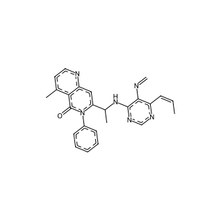 C=Nc1c(/C=C\C)ncnc1NC(C)c1cc2nccc(C)c2c(=O)n1-c1ccccc1